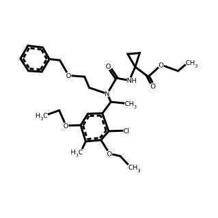 CCOC(=O)C1(NC(=O)N(CCOCc2ccccc2)C(C)c2cc(OCC)c(C)c(OCC)c2Cl)CC1